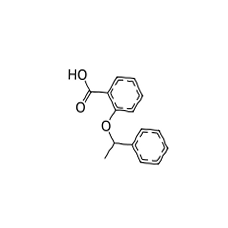 CC(Oc1ccccc1C(=O)O)c1ccccc1